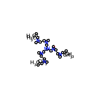 CC1(C)c2ccccc2-c2ccc(-n3c4ccccc4c4ccc(-c5ccc6c7ccccc7n(-c7ccc(-c8cc(-c9cccc(-n%10c%11ccccc%11c%11ccc(-c%12ccc%13c%14ccccc%14n(-c%14ccc%15c(c%14)C(C)(C)c%14ccccc%14-%15)c%13c%12)cc%11%10)c9)nc(-c9ccc(-n%10c%11ccccc%11c%11ccc(-c%12ccc%13c%14ccccc%14n(-c%14ccc%15c(c%14)C(C)(C)c%14ccccc%14-%15)c%13c%12)cc%11%10)cc9)n8)cc7)c6c5)cc43)cc21